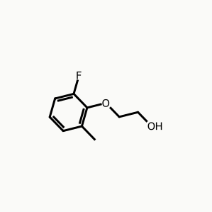 Cc1cccc(F)c1OCCO